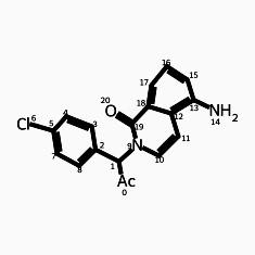 CC(=O)C(c1ccc(Cl)cc1)n1ccc2c(N)cccc2c1=O